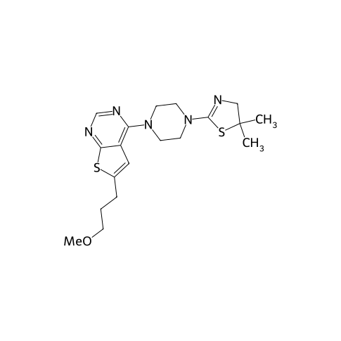 COCCCc1cc2c(N3CCN(C4=NCC(C)(C)S4)CC3)ncnc2s1